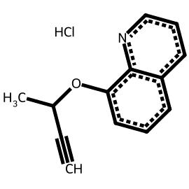 C#CC(C)Oc1cccc2cccnc12.Cl